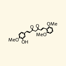 COc1ccc(C=CC(=O)CC(=O)C=Cc2c(OC)cccc2OC)cc1O